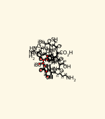 CC[C@H](C)[C@H](NC(=O)[C@@H]1CCCN1C(=O)[C@@H]1C[C@@H](O)CN1C(=O)[C@@H](NC(=O)[C@H](CO)NC(=O)[C@H](CCCCN)NC(=O)[C@@H](NC(=O)[C@H](C)NC(=O)[C@H](CCCNC(=N)N)NC(=O)[C@H](C)NC(=O)[C@@H](N)CS)[C@@H](C)O)[C@@H](C)CC)C(=O)N[C@@H](CS)C(=O)N[C@@H](Cc1ccccc1)C(=O)O